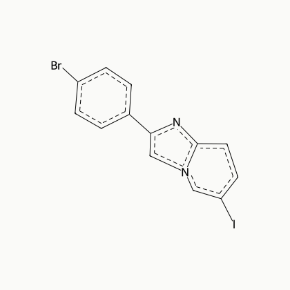 Brc1ccc(-c2cn3cc(I)ccc3n2)cc1